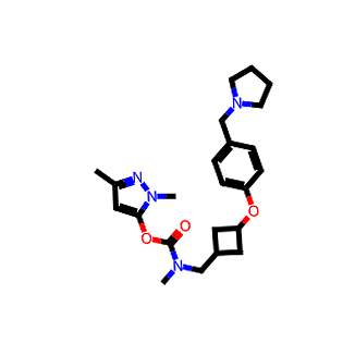 Cc1cc(OC(=O)N(C)CC2CC(Oc3ccc(CN4CCCC4)cc3)C2)n(C)n1